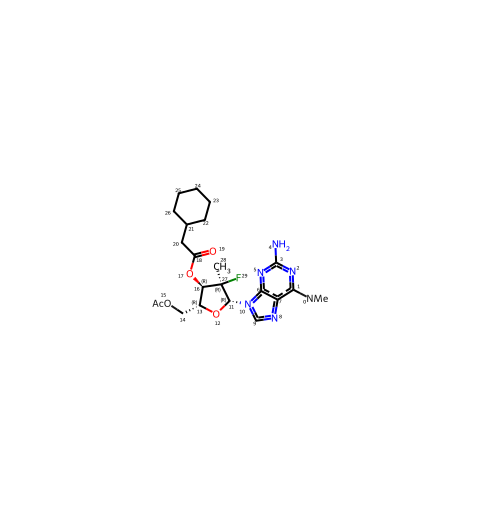 CNc1nc(N)nc2c1ncn2[C@@H]1O[C@H](COC(C)=O)[C@@H](OC(=O)CC2CCCCC2)[C@@]1(C)F